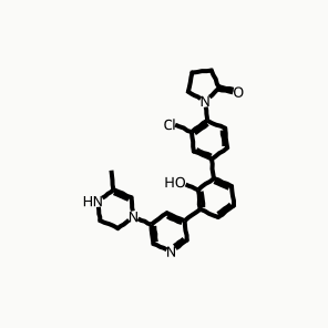 CC1=CN(c2cncc(-c3cccc(-c4ccc(N5CCCC5=O)c(Cl)c4)c3O)c2)CCN1